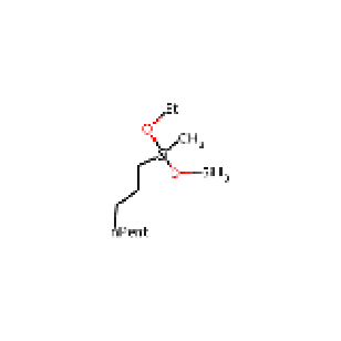 CCCCCCCC[Si](C)(O[SiH3])OCC